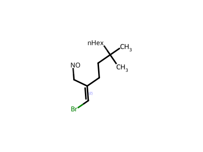 CCCCCCC(C)(C)CC/C(=C/Br)CN=O